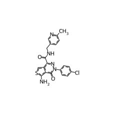 Cc1ccc(CNC(=O)c2nn(-c3ccc(Cl)cc3)c(=O)c3c(N)scc23)cn1